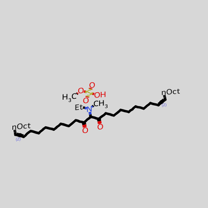 CCCCCCCC/C=C\CCCCCCCC(=O)C(C(=O)CCCCCCC/C=C\CCCCCCCC)N(C)CC.COS(=O)(=O)O